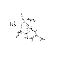 Cc1cnc(C(=O)[C@H](C)S(N)(=O)=O)nc1